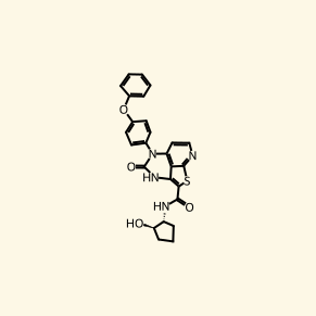 O=C(N[C@@H]1CCC[C@H]1O)c1sc2nccc3c2c1NC(=O)N3c1ccc(Oc2ccccc2)cc1